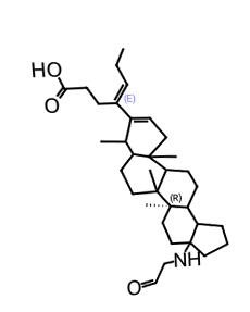 CC/C=C(\CCC(=O)O)C1=CCC2(C)C(CCC3(C)C2CCC2C4CCCC4(NCC=O)CC[C@]23C)C1C